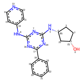 O[C@H]1CC[C@@H](Nc2nc(Nc3ccncc3)nc(-c3ccccc3)n2)C1